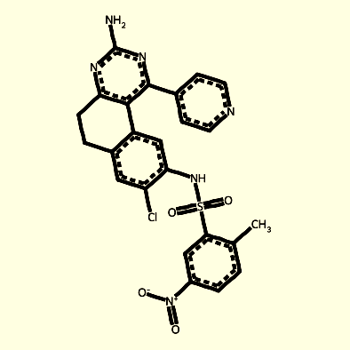 Cc1ccc([N+](=O)[O-])cc1S(=O)(=O)Nc1cc2c(cc1Cl)CCc1nc(N)nc(-c3ccncc3)c1-2